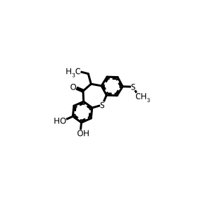 CCC1C(=O)c2cc(O)c(O)cc2Sc2cc(SC)ccc21